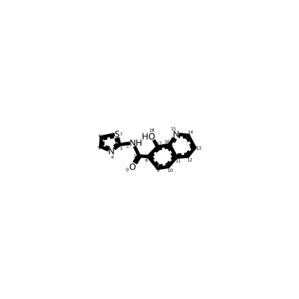 O=C(Nc1nccs1)c1ccc2cccnc2c1O